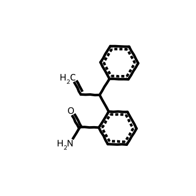 C=CC(c1ccccc1)c1ccccc1C(N)=O